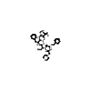 CC(C)CC(NC(=O)[C@H](CCc1ccccc1)NC(=O)CN1CCOCC1)C(=O)NC(Cc1ccccc1)C(=O)N[C@H](CC(C)C)C(=O)C1(C)CO1